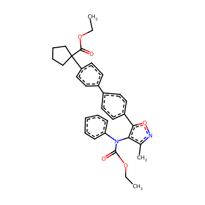 CCOC(=O)N(c1ccccc1)c1c(C)noc1-c1ccc(-c2ccc(C3(C(=O)OCC)CCCC3)cc2)cc1